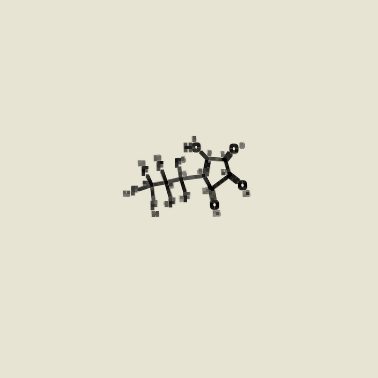 O=c1c(O)c(C(F)(F)C(F)(F)C(F)(F)F)c(=O)c1=O